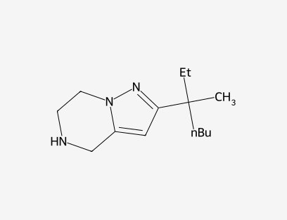 CCCCC(C)(CC)c1cc2n(n1)CCNC2